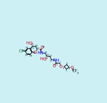 O=C(CO[C@H]1C[C@@H](OC(F)(F)F)C1)NCC[C@H](O)CNC(=O)[C@H]1C[C@@H](O)c2cc(Cl)ccc2O1